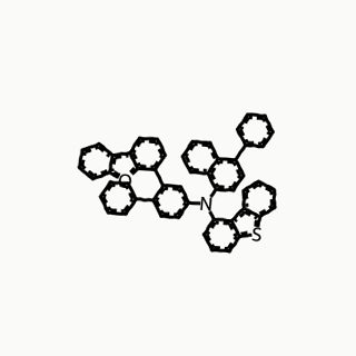 c1ccc(-c2ccc(N(c3ccc(-c4ccccc4)c4ccccc34)c3cccc4sc5ccccc5c34)cc2-c2cccc3c2oc2ccccc23)cc1